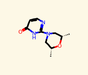 C[C@@H]1CN(c2nccc(=O)[nH]2)C[C@H](C)O1